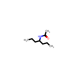 CCCC(CCC)NC(C)=O